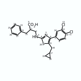 O=C(O)C(CNc1nc(-c2ccc(Cl)c(Cl)c2)c(CC2CC2)s1)Cc1ccccc1